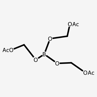 CC(=O)OCOB(OCOC(C)=O)OCOC(C)=O